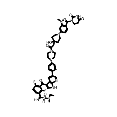 CCN(C)S(=O)(=O)C(=N)c1ccc(F)c(C(=O)c2c[nH]c3ncc(-c4ccc(N5CCN(C(=O)CC6(O)CCN(c7ccc8c(N9CCC(=O)NC9=O)nn(C)c8c7)CC6)CC5)cc4)cc23)c1F